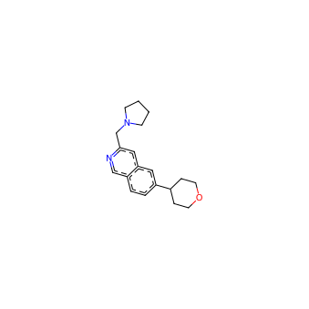 c1cc2cnc(CN3CCCC3)cc2cc1C1CCOCC1